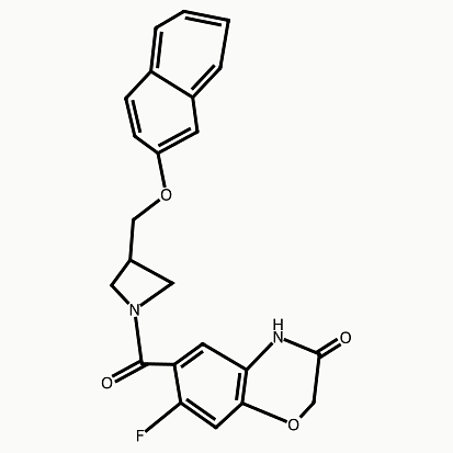 O=C1COc2cc(F)c(C(=O)N3CC(COc4ccc5ccccc5c4)C3)cc2N1